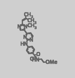 COCCNS(=O)(=O)c1ccc(Nc2nccc(-c3cnc(C=C(C)C)n3C)n2)cc1